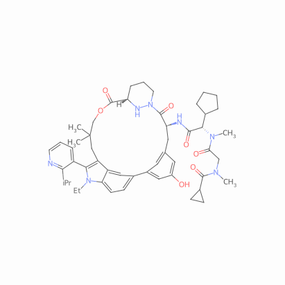 CCn1c(-c2cccnc2C(C)C)c2c3cc(ccc31)-c1cc(O)cc(c1)C[C@H](NC(=O)[C@H](C1CCCC1)N(C)C(=O)CN(C)C(=O)C1CC1)C(=O)N1CCC[C@H](N1)C(=O)OCC(C)(C)C2